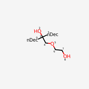 CCCCCCCCCCC(O)(CCCCCCCCCC)COCCO